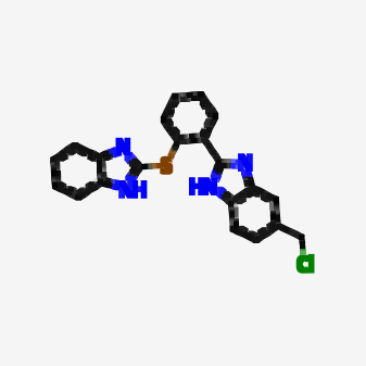 ClCc1ccc2[nH]c(-c3ccccc3Sc3nc4ccccc4[nH]3)nc2c1